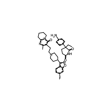 CCC1(c2ccc(N)cc2)CCC(=O)NC1=O.Cc1nc2n(c(=O)c1CCN1CCC(c3noc4cc(F)ccc34)CC1)CCCC2